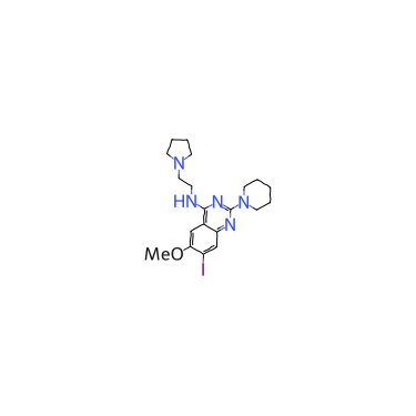 COc1cc2c(NCCN3CCCC3)nc(N3CCCCC3)nc2cc1I